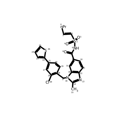 CCCC=CS(=O)(=O)NC(=O)c1ccc2nc(C)n(Cc3ccc(-c4cccs4)cc3Cl)c2c1